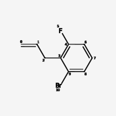 C=CCc1c(F)cccc1Br